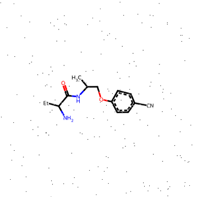 CCC(N)C(=O)NC(C)COc1ccc(C#N)cc1